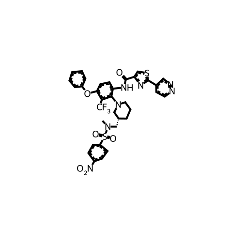 CN(C[C@H]1CCCN(c2c(NC(=O)c3csc(-c4ccnnc4)n3)ccc(Oc3ccccc3)c2C(F)(F)F)C1)S(=O)(=O)c1ccc([N+](=O)[O-])cc1